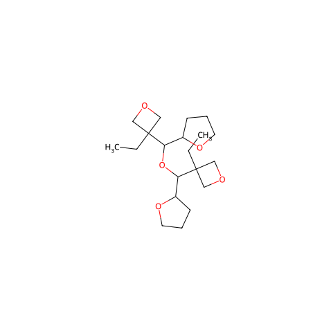 CCC1(C(OC(C2CCCO2)C2(CC)COC2)C2CCCO2)COC1